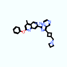 Cc1cc(Oc2ccccc2)nc2cc(C3=NC(C4CC(CN5CCC5)C4)=C4C=NC=C[N+]34N)ccc12